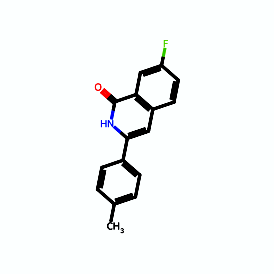 Cc1ccc(-c2cc3ccc(F)cc3c(=O)[nH]2)cc1